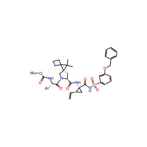 C=C[C@@H]1C[C@]1(NC(=O)[C@@H]1C[C@@]2(CN1C(=O)[C@@H](NC(=O)OC(C)(C)C)C(C)C)C(C)(C)C21CCC1)C(=O)NS(=O)(=O)c1cccc(OCc2ccccc2)c1